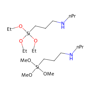 CCCNCCC[Si](OC)(OC)OC.CCCNCCC[Si](OCC)(OCC)OCC